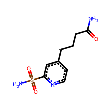 NC(=O)CC[CH]c1ccnc(S(N)(=O)=O)c1